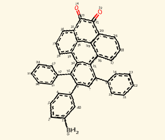 Bc1cccc(-c2cc(-c3ccccc3)c3c4cccc5c(=O)c(=O)c6cccc(c3c2-c2ccccc2)c6c54)c1